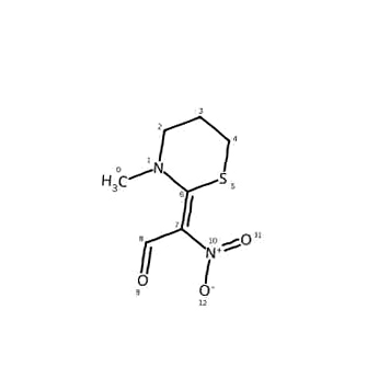 CN1CCCSC1=C(C=O)[N+](=O)[O-]